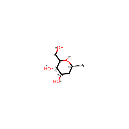 CC(C)[C@H]1C[C@@H](O)[C@H](O)C(CO)O1